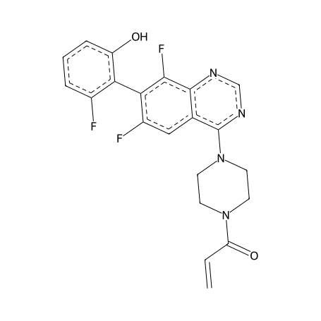 C=CC(=O)N1CCN(c2ncnc3c(F)c(-c4c(O)cccc4F)c(F)cc23)CC1